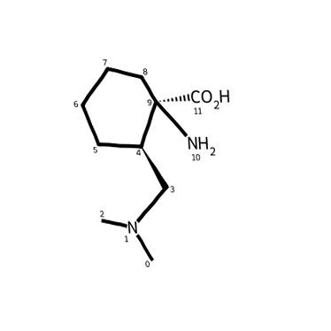 CN(C)C[C@H]1CCCC[C@]1(N)C(=O)O